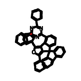 c1ccc(-c2nc(-c3ccccc3)nc(-c3cccc4c3-c3c(-c5ccccc5)oc(-c5ccccc5)c3C43c4ccccc4-c4ccccc43)n2)cc1